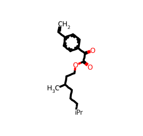 C=Cc1ccc(C(=O)C(=O)OCCC(C)CCCC(C)C)cc1